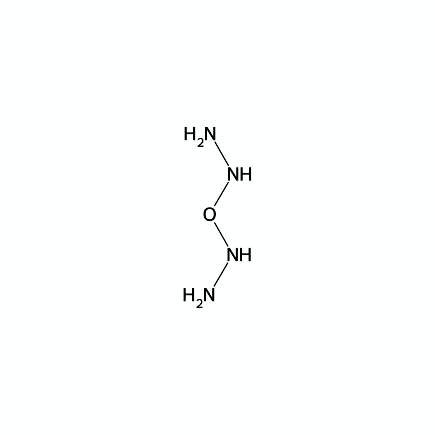 NNONN